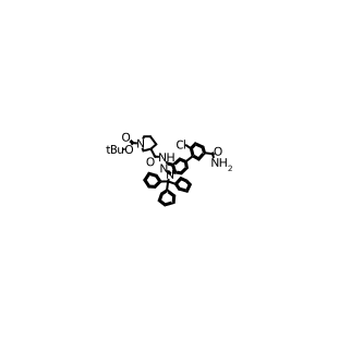 CC(C)(C)OC(=O)N1CCCC(C(=O)Nc2nn(C(c3ccccc3)(c3ccccc3)c3ccccc3)c3ccc(-c4cc(C(N)=O)ccc4Cl)cc23)C1